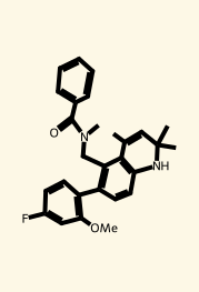 COc1cc(F)ccc1-c1ccc2c(c1CN(C)C(=O)c1ccccc1)C(C)=CC(C)(C)N2